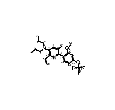 CCCN(CCC)c1cc(C)c(-c2ccc(OC(F)(F)F)cc2OC)nc1CC